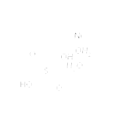 O.O.O=S(=O)(O)O.[Ni]